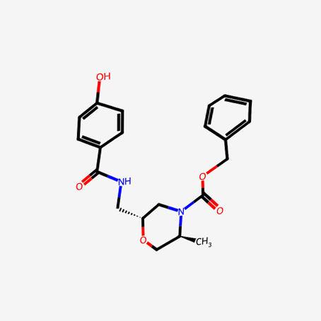 C[C@H]1CO[C@H](CNC(=O)c2ccc(O)cc2)CN1C(=O)OCc1ccccc1